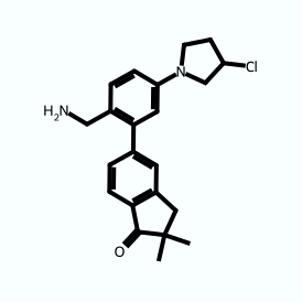 CC1(C)Cc2cc(-c3cc(N4CCC(Cl)C4)ccc3CN)ccc2C1=O